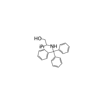 CC(C)C(CO)NC(c1ccccc1)(c1ccccc1)c1ccccc1